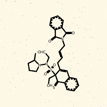 CC1CCCN1N(CC=O)S(=O)(=O)C1(CO)C(=S)c2ccccc2C=C1CC=CCN1C(=O)c2ccccc2C1=O